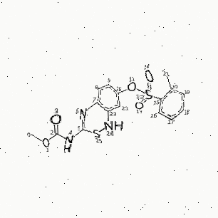 COC(=O)NC1=Nc2ccc(OS(=O)(=O)c3ccccc3C)cc2NS1